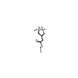 CCOC(=O)CC1C[Si](C)(C)[Si](C)(C)C1